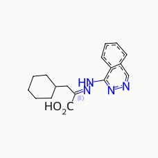 O=C(O)/C(CC1CCCCC1)=N/Nc1nncc2ccccc12